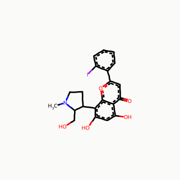 CN1CCC(c2c(O)cc(O)c3c(=O)cc(-c4ccccc4I)oc23)C1CO